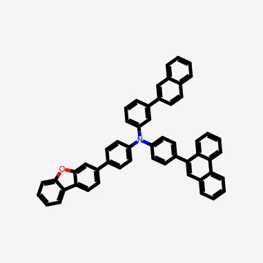 c1cc(-c2ccc3ccccc3c2)cc(N(c2ccc(-c3ccc4c(c3)oc3ccccc34)cc2)c2ccc(-c3cc4ccccc4c4ccccc34)cc2)c1